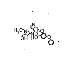 CCN1CC(NC2=C3C=CN=C3CN=C2C(=O)c2ccc(Oc3ccccc3)cc2Cl)CC1CO